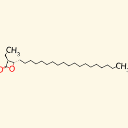 CCCCCCCCCCCCCCCCCCC[C@@H]1OC(=O)[C@H]1CC